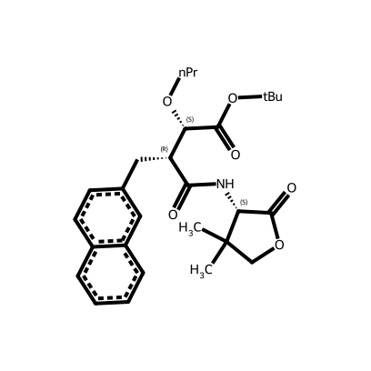 CCCO[C@H](C(=O)OC(C)(C)C)[C@@H](Cc1ccc2ccccc2c1)C(=O)N[C@@H]1C(=O)OCC1(C)C